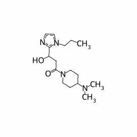 CCCn1ccnc1C(O)CC(=O)N1CCC(N(C)C)CC1